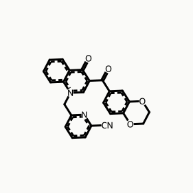 N#Cc1cccc(Cn2cc(C(=O)c3ccc4c(c3)OCCO4)c(=O)c3ccccc32)n1